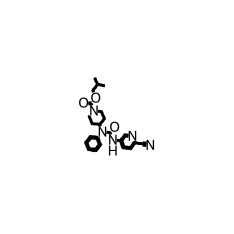 CC(C)COC(=O)N1CCC(N(C(=O)Nc2ccc(C#N)nc2)c2ccccc2)CC1